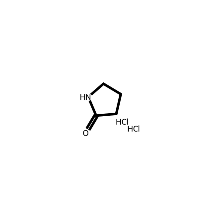 Cl.Cl.O=C1CCCN1